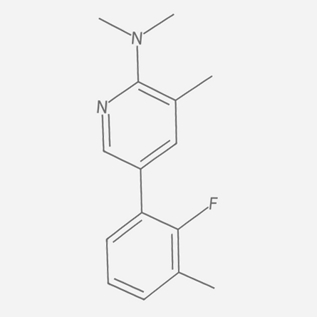 Cc1cc(-c2cccc(C)c2F)cnc1N(C)C